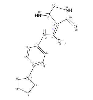 C/C(Nc1ccc(N2CCCC2)nc1)=C1/C(=N)CNC1=O